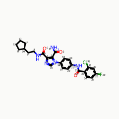 NC(=O)c1c(C(=O)NCCC2CCCC2)ncn1-c1ccc(NC(=O)c2ccc(F)cc2Cl)cc1